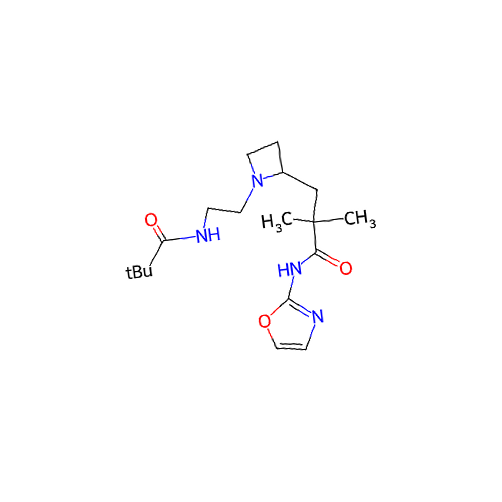 CC(C)(C)C(=O)NCCN1CCC1CC(C)(C)C(=O)Nc1ncco1